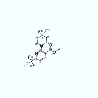 COC(=O)c1ccc(C(F)(F)F)nc1N1CCC(F)(F)CC1